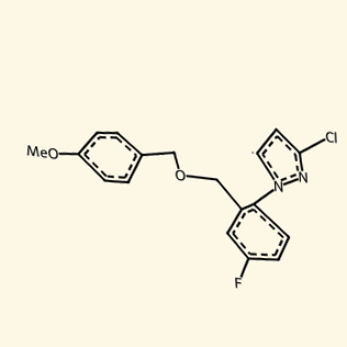 COc1ccc(COCc2cc(F)ccc2-n2[c]cc(Cl)n2)cc1